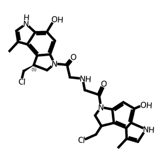 Cc1c[nH]c2c(O)cc3c(c12)C(CCl)CN3C(=O)CNCC(=O)N1C[C@@H](CCl)c2c1cc(O)c1[nH]cc(C)c21